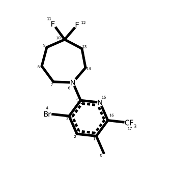 Cc1cc(Br)c(N2CCCC(F)(F)CC2)nc1C(F)(F)F